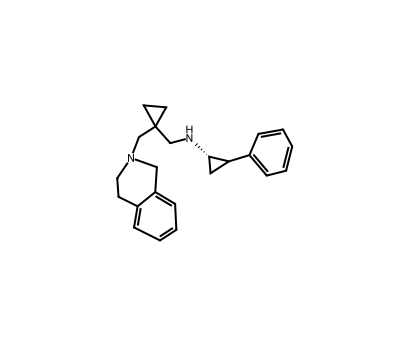 c1ccc(C2C[C@@H]2NCC2(CN3CCc4ccccc4C3)CC2)cc1